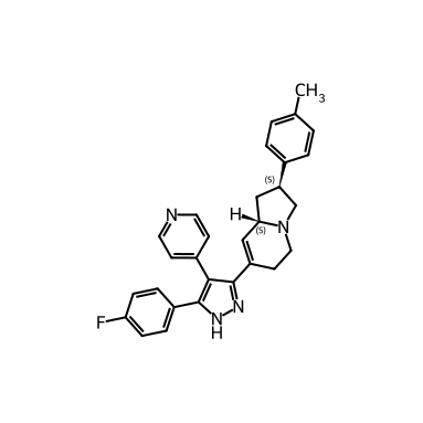 Cc1ccc([C@@H]2C[C@H]3C=C(c4n[nH]c(-c5ccc(F)cc5)c4-c4ccncc4)CCN3C2)cc1